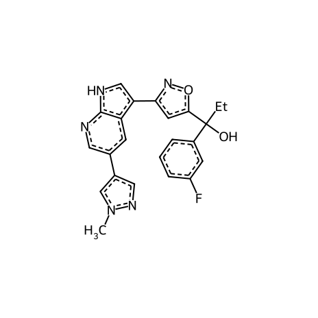 CCC(O)(c1cccc(F)c1)c1cc(-c2c[nH]c3ncc(-c4cnn(C)c4)cc23)no1